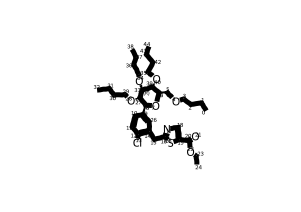 CCCCOC[C@H]1O[C@@H](c2ccc(Cl)c(Cc3ncc(C(=O)OCC)s3)c2)[C@H](OCCCC)[C@@H](OCCCC)[C@@H]1OCCCC